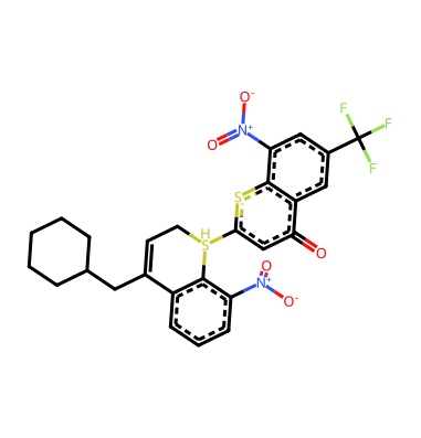 O=c1cc([SH]2CC=C(CC3CCCCC3)c3cccc([N+](=O)[O-])c32)sc2c([N+](=O)[O-])cc(C(F)(F)F)cc12